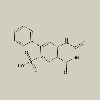 O=c1[nH]c(=O)c2cc(S(=O)(=O)O)c(-c3ccccc3)cc2[nH]1